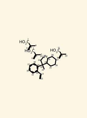 C=C(C)C(=O)O.C=C(C)C(=O)O.C=C(C)C(=O)O.C=Cc1ccccc1C(C)(CC(C)C)C1CCCCC1